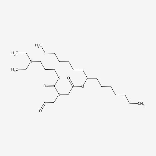 CCCCCCCC(CCCCCCC)OC(=O)CN(CC=O)C(=O)SCCCN(CC)CC